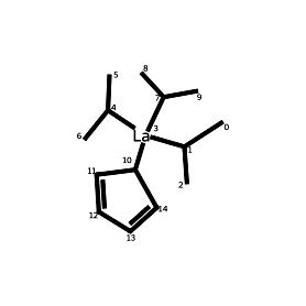 C[CH](C)[La]([CH](C)C)([CH](C)C)[CH]1C=CC=C1